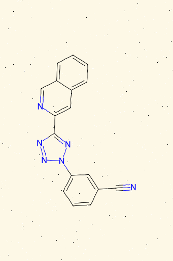 N#Cc1cccc(-n2nnc(-c3cc4ccccc4cn3)n2)c1